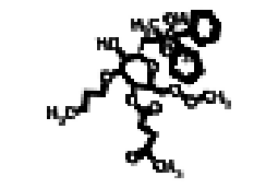 CCCCOC1C(O)[C@H](CC(C)(C)[Si](O)(c2ccccc2)c2ccccc2)OC(COOC)[C@H]1OC(=O)CCC(C)=O